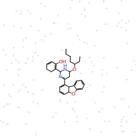 CCCCC(CC)OC1CC(C2=CC=CC3Oc4ccccc4C23)=NC(C2=C(O)C=CCC2)N1